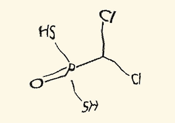 O=P(S)(S)C(Cl)Cl